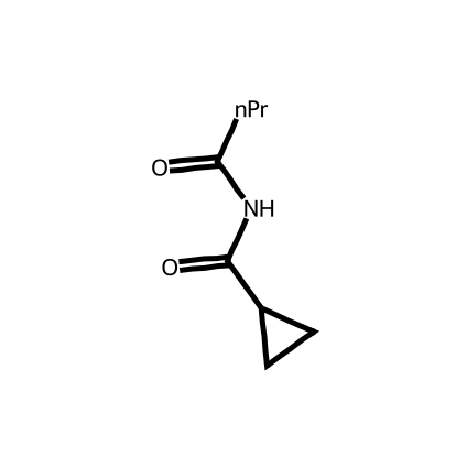 CCCC(=O)NC(=O)C1CC1